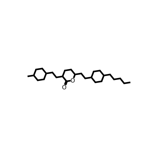 CCCCCC1CCC(CCC2CCC(CCC3CCC(C)CC3)C(=O)O2)CC1